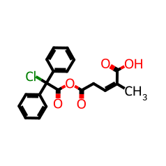 CC(=CCC(=O)OC(=O)C(Cl)(c1ccccc1)c1ccccc1)C(=O)O